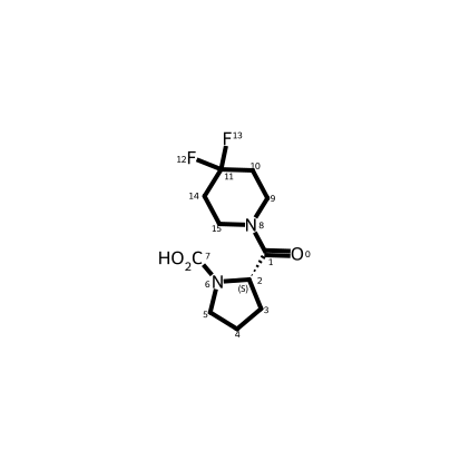 O=C([C@@H]1CCCN1C(=O)O)N1CCC(F)(F)CC1